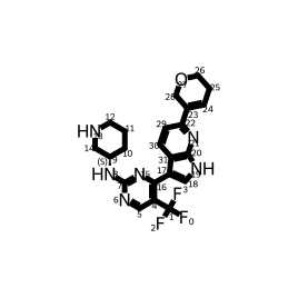 FC(F)(F)c1cnc(N[C@H]2CCCNC2)nc1-c1c[nH]c2nc(C3=CCCOC3)ccc12